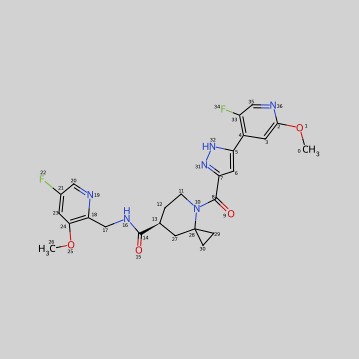 COc1cc(-c2cc(C(=O)N3CC[C@H](C(=O)NCc4ncc(F)cc4OC)CC34CC4)n[nH]2)c(F)cn1